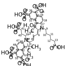 CC1(C)C(/C=C/C=C2/N(CCCCCC(=O)O)c3ccc4c(S(=O)(=O)O)cc(S(=O)(=O)O)cc4c3C2(C)C)=[N+](CCCS(=O)(=O)O)c2ccc3c(S(=O)(=O)O)cc(S(=O)(=O)O)cc3c21